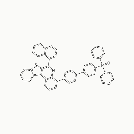 O=P(c1ccccc1)(c1ccccc1)c1ccc(-c2ccc(-c3cccc4c3nc(-c3cccc5ccccc35)c3sc5ccccc5c34)cc2)cc1